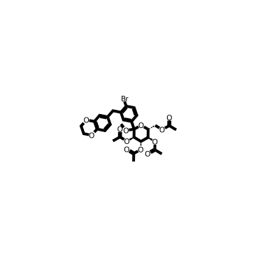 COC1(c2ccc(Br)c(Cc3ccc4c(c3)OCCO4)c2)O[C@H](COC(C)=O)[C@@H](OC(C)=O)[C@H](OC(C)=O)[C@H]1OC(C)=O